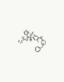 Cc1cc(S(=O)(=O)N(OC(=O)C(F)(F)F)c2ccsn2)c(F)cc1N(C)[C@H]1CCN(Cc2ccccc2)C1